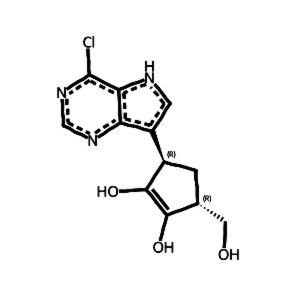 OC[C@H]1C[C@H](c2c[nH]c3c(Cl)ncnc23)C(O)=C1O